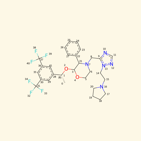 C[C@@H](OC1OCCN(Cc2ncnn2CCN2CCCC2)C1c1ccccc1)c1cc(C(F)(F)F)cc(C(F)(F)F)c1